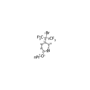 CCCOc1ccc(C(Br)(C(F)(F)F)C(F)(F)F)cn1